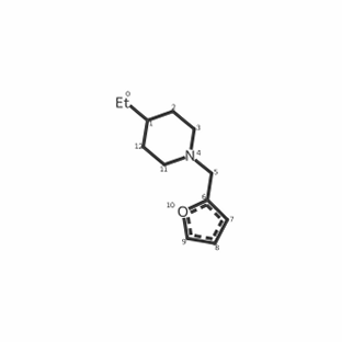 CCC1CCN(Cc2ccco2)CC1